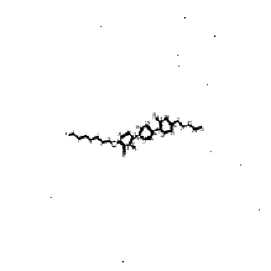 CCCCCCCCOc1ccc(-c2ccc(-c3ccc(CCCCC)cc3F)cc2)c(F)c1F